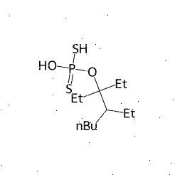 CCCCC(CC)C(CC)(CC)OP(O)(=S)S